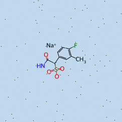 Cc1cc(C(C([NH])=O)S(=O)(=O)[O-])ccc1F.[Na+]